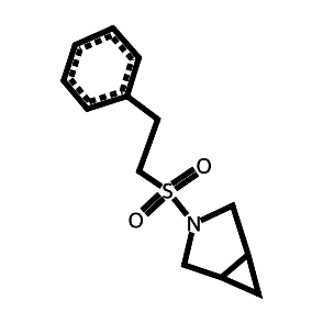 O=S(=O)(CCc1ccccc1)N1CC2CC2C1